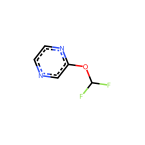 FC(F)Oc1cnccn1